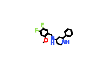 COc1cc(F)c(F)cc1CNC1CCNC(c2ccccc2)C1